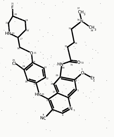 CCOc1cc2ncc(C#N)c(Nc3ccc(OCC4CCC(F)CN4)c(Cl)c3)c2cc1NC(=O)CCCN(C)C